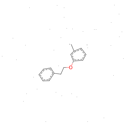 [CH2]c1cccc(OCCc2ccccc2)c1